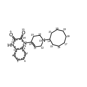 O=c1[nH]c2ccccc2n(C2=CCN(C3CCCCCCC3)CC2)c1=O